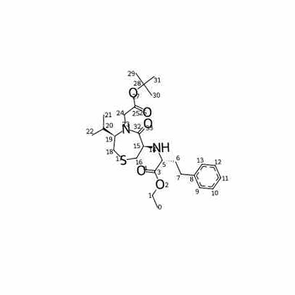 CCOC(=O)[C@@H](CCc1ccccc1)N[C@H]1CSC[C@@H](C(C)C)N(CC(=O)OC(C)(C)C)C1=O